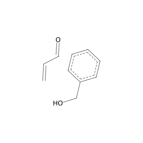 C=CC=O.OCc1ccccc1